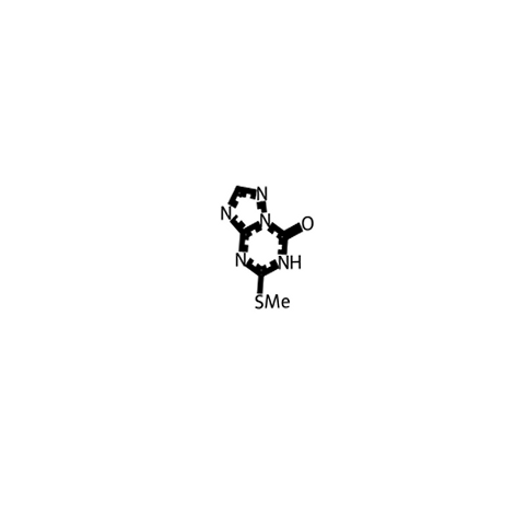 CSc1nc2ncnn2c(=O)[nH]1